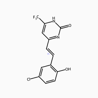 O=c1nc(/C=C/c2cc(Cl)ccc2O)cc(C(F)(F)F)[nH]1